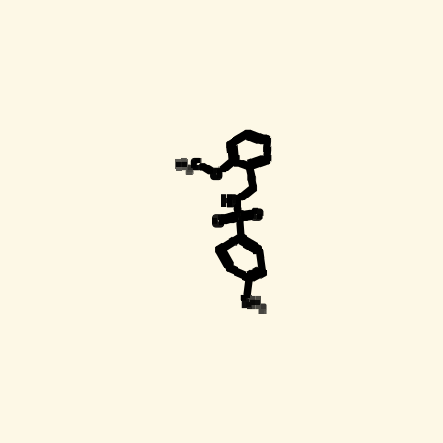 COc1ccccc1CNS(=O)(=O)c1ccc(N)cc1